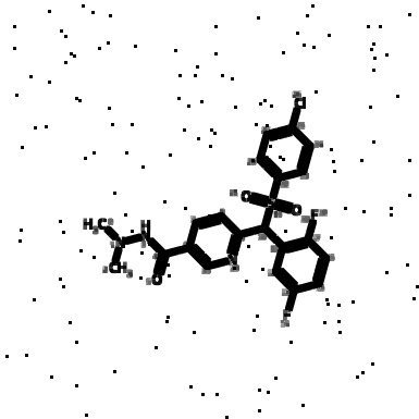 CN(C)NC(=O)c1ccc(C(c2cc(F)ccc2F)S(=O)(=O)c2ccc(Cl)cc2)nc1